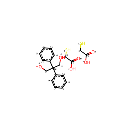 O=C(O)CS.O=C(O)CS.OCC(CO)(c1ccccc1)c1ccccc1